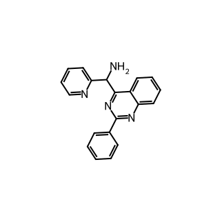 NC(c1ccccn1)c1nc(-c2ccccc2)nc2ccccc12